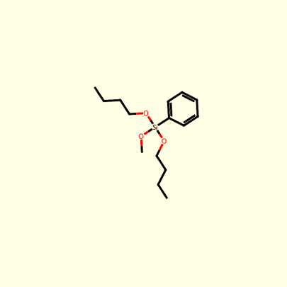 CCCCO[Si](OC)(OCCCC)c1ccccc1